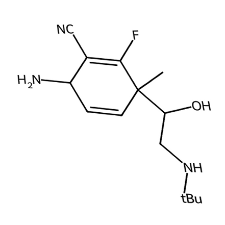 CC(C)(C)NCC(O)C1(C)C=CC(N)C(C#N)=C1F